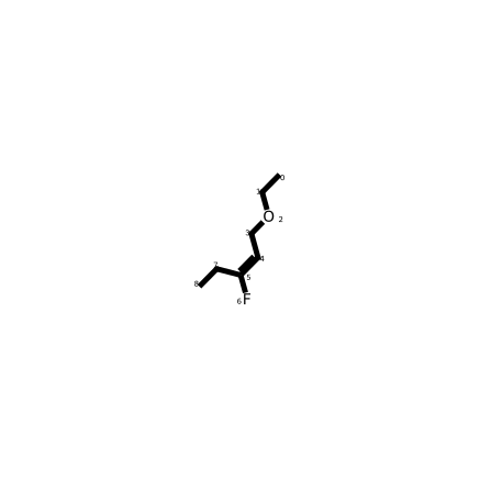 CCOC/C=C(/F)CC